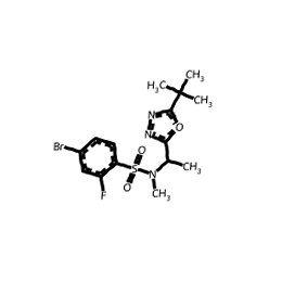 CC(c1nnc(C(C)(C)C)o1)N(C)S(=O)(=O)c1ccc(Br)cc1F